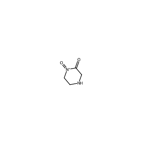 O=C1CNCC[N+]1=O